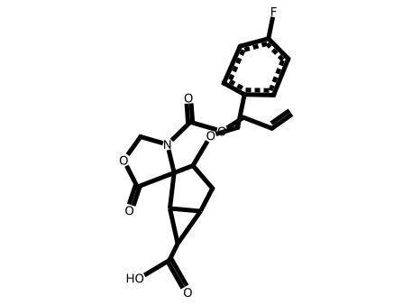 C=CCOC(=O)N1COC(=O)C12C(OCc1ccc(F)cc1)CC1C(C(=O)O)C12